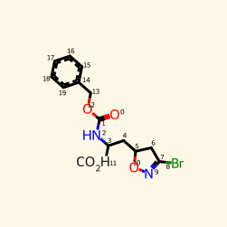 O=C(NC(CC1CC(Br)=NO1)C(=O)O)OCc1ccccc1